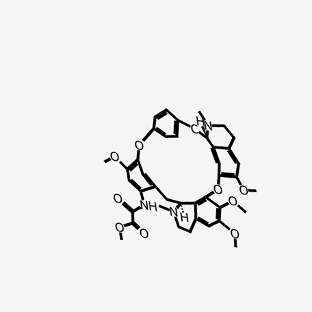 COC(=O)C(=O)Nc1cc(OC)c2cc1C[C@H]1c3c(cc(OC)c(OC)c3Oc3cc4c(cc3OC)CCN(C)[C@H]4Cc3ccc(cc3)O2)CCN1C